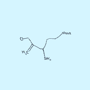 C=C(CCl)C([SiH3])CCCCCCC